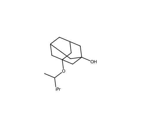 CC(C)C(C)OC12CC3CC(CC(O)(C3)C1)C2